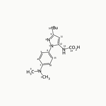 CN(C)c1ccc(-n2nc(C(C)(C)C)cc2NC(=O)O)cc1